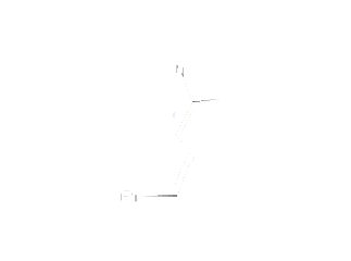 C/C(N)=C\C=C/C(C)C